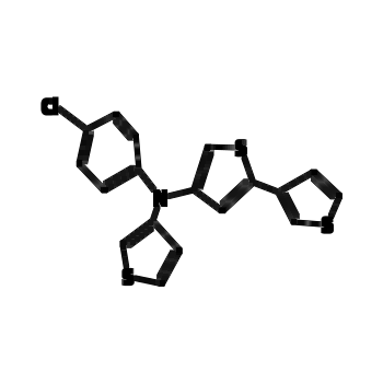 Clc1ccc(N(c2ccsc2)c2csc(-c3ccsc3)c2)cc1